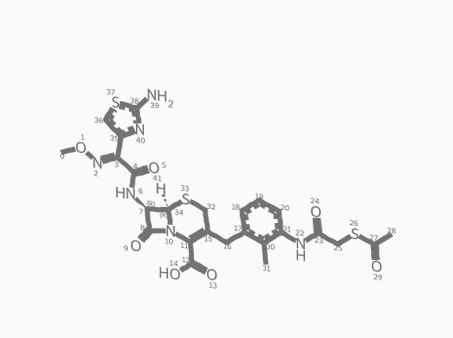 CON=C(C(=O)N[C@@H]1C(=O)N2C(C(=O)O)=C(Cc3cccc(NC(=O)CSC(C)=O)c3C)CS[C@H]12)c1csc(N)n1